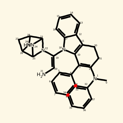 CN(C1=C(c2ccccc2)c2c(c3ccccc3n2/C(=C/N)N2C3NC2C2CC3N2)CC1)c1ccccc1